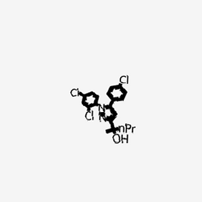 CCCC(C)(O)c1cc(-c2ccc(Cl)cc2)n(-c2ccc(Cl)cc2Cl)n1